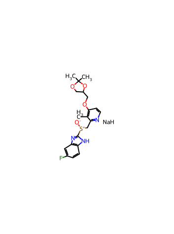 Cc1c(OCC2COC(C)(C)O2)ccnc1C[S+]([O-])c1nc2cc(F)ccc2[nH]1.[NaH]